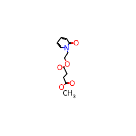 COC(=O)CCC(=O)OCCn1ccccc1=O